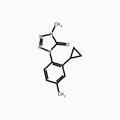 Cc1ccc(-n2nnn(C)c2=O)c(C2CC2)c1